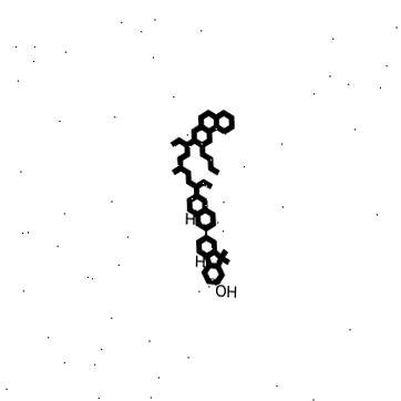 CCCCC1CC2C(CCC3CCCCC32)CC1C(CC)CCC(C)CCC(CC)C1CC[C@@H]2C[C@H](C3CC[C@@H]4C5CCC(O)CC5C(C)(C)C4C3)CCC2C1